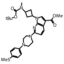 COC(=O)c1cn(C2CC(N(C)C(=O)OC(C)(C)C)C2)c2nc(N3CCN(c4ccc(SC)cc4)CC3)ccc12